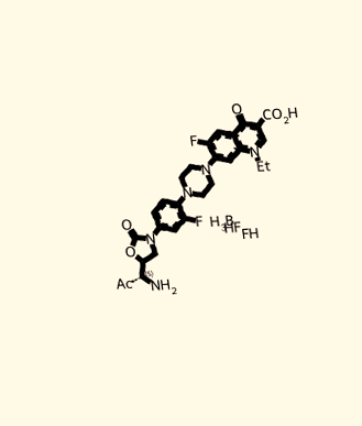 B.CCn1cc(C(=O)O)c(=O)c2cc(F)c(N3CCN(c4ccc(N5CC([C@H](N)C(C)=O)OC5=O)cc4F)CC3)cc21.F.F